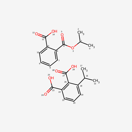 CC(C)OC(=O)c1ccccc1C(=O)O.CC(C)c1cccc(C(=O)O)c1C(=O)O